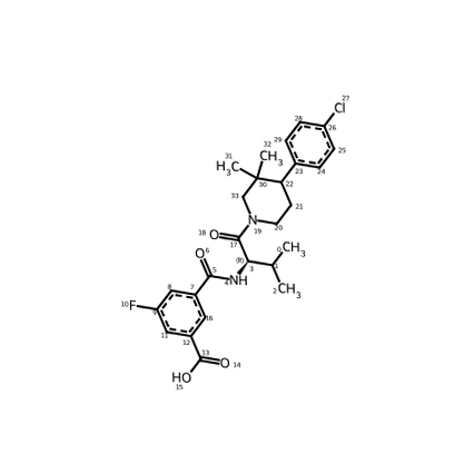 CC(C)[C@@H](NC(=O)c1cc(F)cc(C(=O)O)c1)C(=O)N1CCC(c2ccc(Cl)cc2)C(C)(C)C1